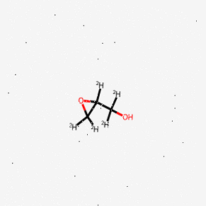 [2H]C([2H])(O)C1([2H])OC1([2H])[2H]